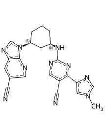 Cn1cnc(-c2nc(N[C@@H]3CCC[C@H](n4cnc5cc(C#N)cnc54)C3)ncc2C#N)c1